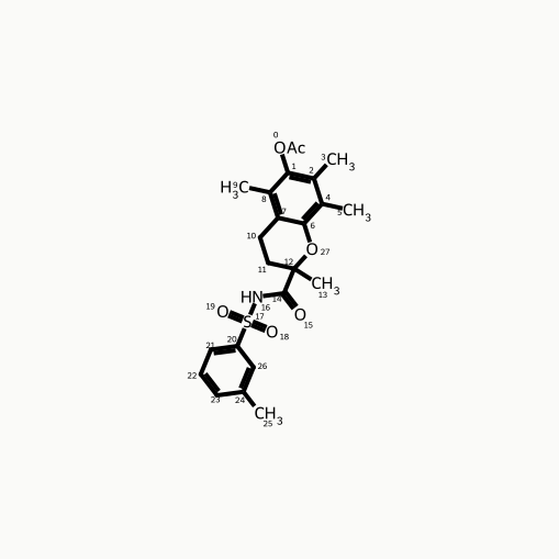 CC(=O)Oc1c(C)c(C)c2c(c1C)CCC(C)(C(=O)NS(=O)(=O)c1cccc(C)c1)O2